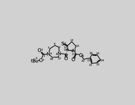 CC(C)(C)OC(=O)N1CCCN(C(=O)[C@@H]2C(=S)CCN2C(=O)OCc2ccccc2)CC1